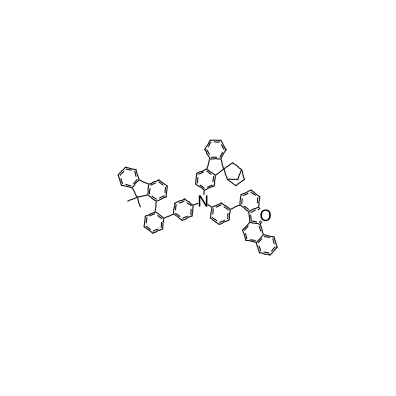 CC1(C)c2ccccc2-c2cccc(-c3ccccc3-c3ccc(N(c4cccc(-c5cccc6oc7c8ccccc8ccc7c56)c4)c4ccc5c(c4)C4(CC6CCC4C6)c4ccccc4-5)cc3)c21